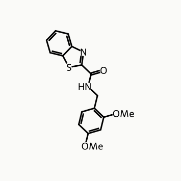 COc1ccc(CNC(=O)c2nc3ccccc3s2)c(OC)c1